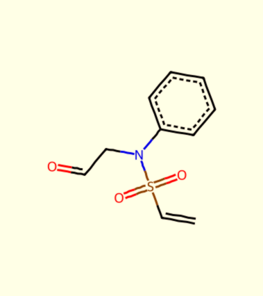 C=CS(=O)(=O)N(CC=O)c1ccccc1